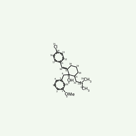 COc1cccc(CC2(O)C(=Cc3ccc(Cl)cc3)CCCC2CN(C)C)c1